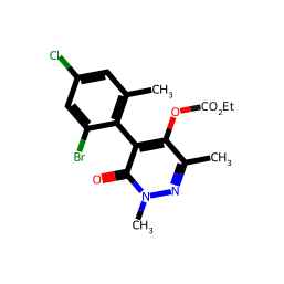 CCOC(=O)Oc1c(C)nn(C)c(=O)c1-c1c(C)cc(Cl)cc1Br